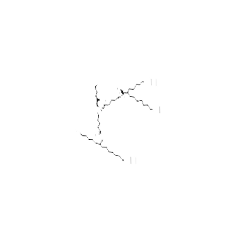 CCCCCCCCC(CCCCCC)C(=O)OCCCCCCN(CCCCCO)C[C@@H](O)CCCCOC(=O)C(CCCCCC)CCCCCCCC